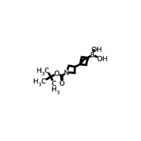 CC(C)(C)OC(=O)N1CC(C23CC(B(O)O)(C2)C3)C1